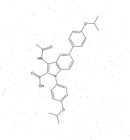 CC(=O)Nc1c(C(=O)O)n(-c2ccc(OC(C)C)cc2)c2ccc(-c3ccc(OC(C)C)cc3)cc12